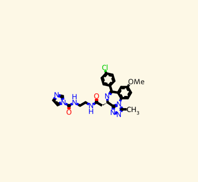 COc1ccc2c(c1)C(c1ccc(Cl)cc1)=N[C@@H](CC(=O)NCCNC(=O)n1ccnc1)c1nnc(C)n1-2